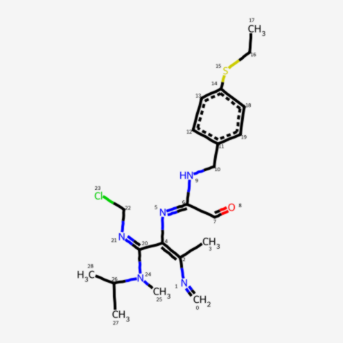 C=N/C(C)=C(/N=C(\C=O)NCc1ccc(SCC)cc1)C(=N/CCl)\N(C)C(C)C